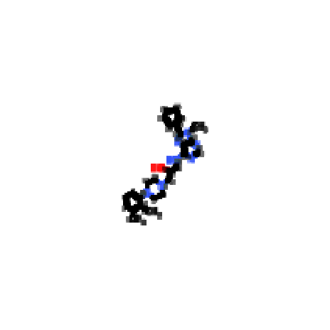 Cc1cccc(N2CCN(CC(O)CNc3ncnc4c3nc(-c3ccccc3)n4C)CC2)c1C